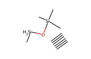 C#C.C#C.C[SiH2]O[Si](C)(C)C